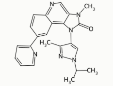 Cc1nn(C(C)C)cc1-n1c(=O)n(C)c2cnc3ccc(-c4ccccn4)cc3c21